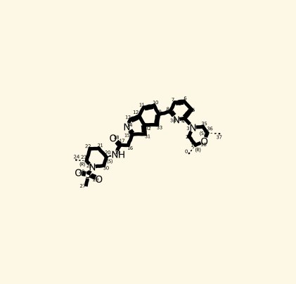 C[C@@H]1CN(c2cccc(-c3ccc4cnc(CC(=O)N[C@H]5CC[C@@H](C)N(S(C)(=O)=O)C5)cc4c3)n2)C[C@H](C)O1